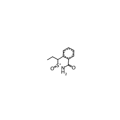 CCC([S+]=O)c1ccccc1C(N)=O